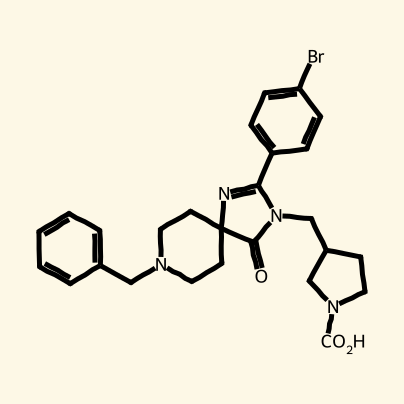 O=C(O)N1CCC(CN2C(=O)C3(CCN(Cc4ccccc4)CC3)N=C2c2ccc(Br)cc2)C1